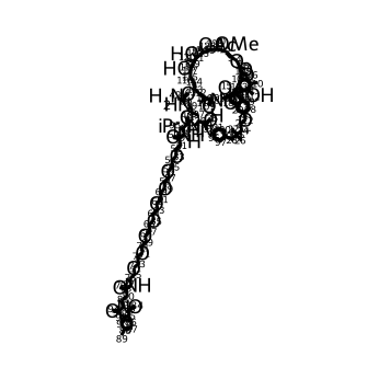 CO[C@H]1/C=C/O[C@@]2(C)Oc3c(C)c(O)c4c(=O)c(c5oc6cc(OCC[N+](C)(C)Cc7ccc(NC(=O)[C@H](CCCNC(N)=O)NC(=O)[C@@H](NC(=O)CCOCCOCCOCCOCCOCCOCCOCCOCCNC(=O)CCN8C(=O)C9C%10C=C(C)C(C%10)C9C8=O)C(C)C)cc7)ccc6nc-5c4c3C2=O)NC(=O)/C(C)=C\C=C\[C@H](C)[C@H](O)[C@@H](C)[C@@H](O)[C@@H](C)[C@H](OC(C)=O)[C@@H]1C